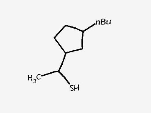 CCCCC1CCC(C(C)S)C1